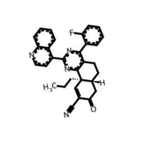 CCC[C@@]12C=C(C#N)C(=O)C[C@H]1CCc1c(-c3ccccc3F)nc(-c3ccnc4ccccc34)nc12